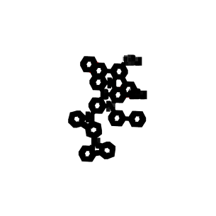 CC(C)(C)c1cc(-c2ccccc2)c(N2c3cc(-c4ccccc4)ccc3B3c4ccc(-n5c6ccccc6c6cc(-n7c8ccccc8c8ccccc87)ccc65)cc4N(c4cccc(-c5ccccc5)c4)c4cc(C(C)(C)C)cc2c43)c(-c2ccccc2)c1